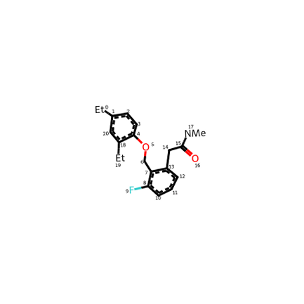 CCc1ccc(OCc2c(F)cccc2CC(=O)NC)c(CC)c1